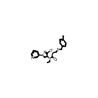 CCN(C(=O)CCSCc1ccc(C)cc1)c1cn(-c2cccnc2)nc1Cl